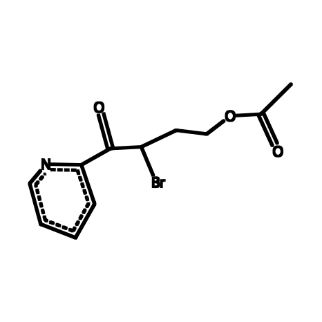 CC(=O)OCCC(Br)C(=O)c1ccccn1